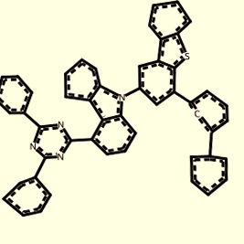 c1ccc(-c2cccc(-c3cc(-n4c5ccccc5c5c(-c6nc(-c7ccccc7)nc(-c7ccccc7)n6)cccc54)cc4c3sc3ccccc34)c2)cc1